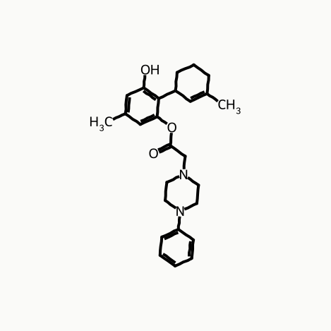 CC1=CC(c2c(O)cc(C)cc2OC(=O)CN2CCN(c3ccccc3)CC2)CCC1